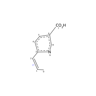 C/C=C\c1ccc(C(=O)O)cn1